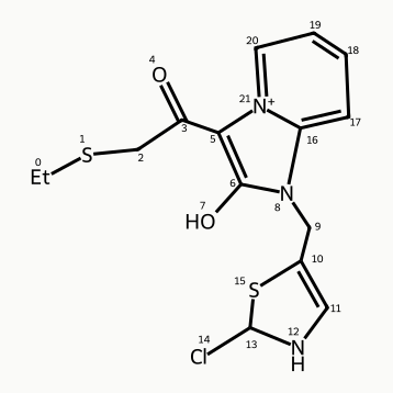 CCSCC(=O)c1c(O)n(CC2=CNC(Cl)S2)c2cccc[n+]12